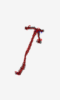 O=C(CCCCCCCCCCCCCCC(CCCCCCCCCCCCCCC(=O)OCc1ccccc1)(C(=O)NCCOCCOCCOCCOCCOCCOCCOCCOCCOCCOCCOCCOCCOCCOCCOCCOCCOCCOCCOCCOCCOCCOCCOCCOCCC(=O)ON1C(=O)CCC1O)C(=O)OCc1ccccc1)OCc1ccccc1